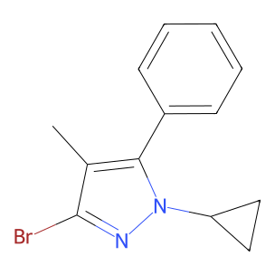 Cc1c(Br)nn(C2CC2)c1-c1ccccc1